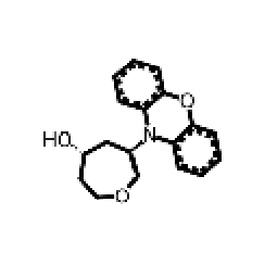 O[C@H]1CCOC[C@H](N2c3ccccc3Oc3ccccc32)C1